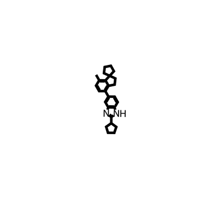 Cc1ccc(-c2ccc3[nH]c(C4CCCC4)nc3c2)c2c1C1(CCCC1)CC2